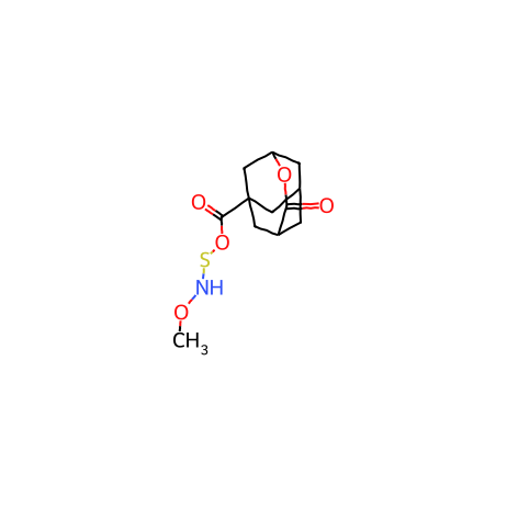 CONSOC(=O)C12CC3CC(C1)OC(=O)C(C3)C2